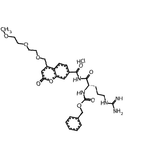 COCCOCCOCc1cc(=O)oc2cc(C(=O)NC(=O)[C@H](CCCNC(=N)N)NC(=O)OCc3ccccc3)ccc12.Cl